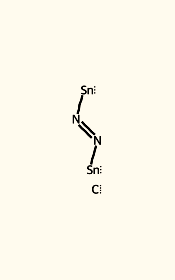 [C].[Sn][N]=[N][Sn]